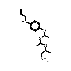 C=CCNc1ccc(OC(C)SC(C)OC(C)CN)cc1